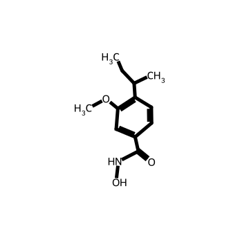 CCC(C)c1ccc(C(=O)NO)cc1OC